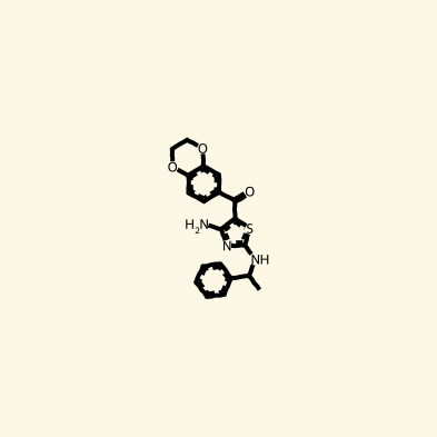 CC(Nc1nc(N)c(C(=O)c2ccc3c(c2)OCCO3)s1)c1ccccc1